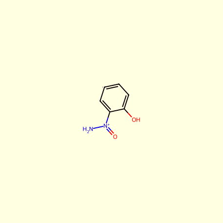 N[N+](=O)c1c[c]ccc1O